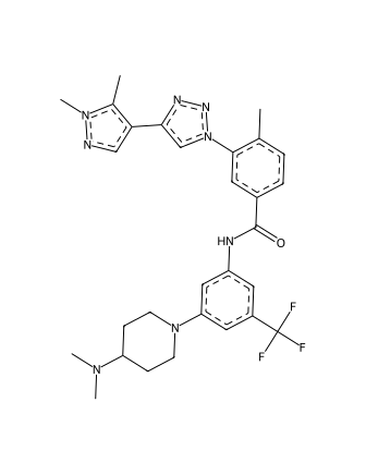 Cc1ccc(C(=O)Nc2cc(N3CCC(N(C)C)CC3)cc(C(F)(F)F)c2)cc1-n1cc(-c2cnn(C)c2C)nn1